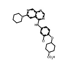 O=C(O)N1CCC(Oc2ccc(Nc3ncnc4cnc(N5CCCCC5)cc34)cc2Cl)CC1